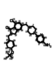 Nc1ccc(N2CCN(Cc3cc(Cl)c4c(c3)CN(CC3=CCC(OC(F)(F)F)C=C3)C4=O)CC2)nc1